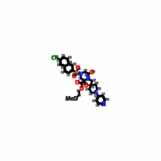 COCCOC(=O)C12CN(S(=O)(=O)c3ccc4cc(Cl)ccc4c3)CC(=O)N1CC1(CCN(c3ccncc3)CC1)O2